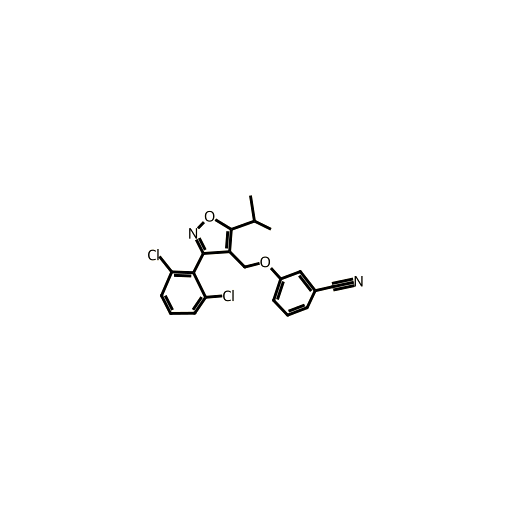 CC(C)c1onc(-c2c(Cl)cccc2Cl)c1COc1cccc(C#N)c1